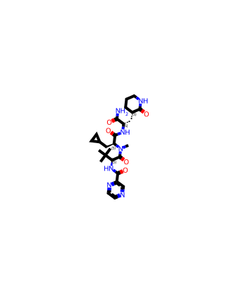 CN(C(=O)[C@@H](NC(=O)c1cnccn1)C(C)(C)C)[C@@H](CC1CC1)C(=O)N[C@@H](C[C@@H]1CCCNC1=O)C(N)=O